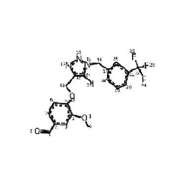 COc1cc(C=O)ccc1OCc1nnn(Cc2cccc(C(F)(F)F)c2)c1I